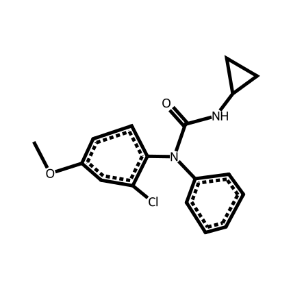 COc1ccc(N(C(=O)NC2CC2)c2ccccc2)c(Cl)c1